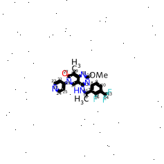 COc1nc(N[C@H](C)c2cccc(C(F)F)c2F)c2cn(-c3ccncc3)c(=O)c(C)c2n1